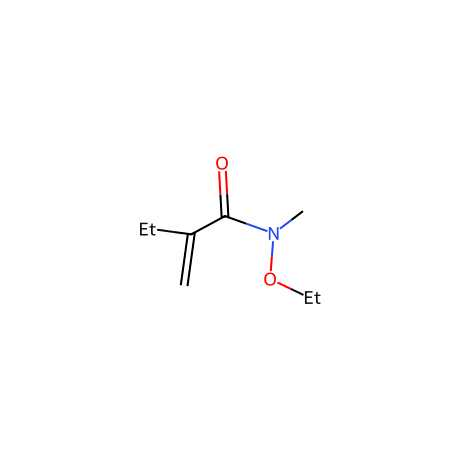 C=C(CC)C(=O)N(C)OCC